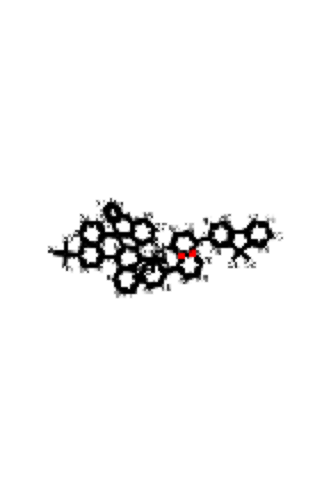 CC(C)(C)c1cc2c(c3ccccc13)-c1ccc(C(C)(C)C)c3cccc(c13)C21c2ccccc2-c2ccc(N(c3ccc(-c4ccc5c(c4)C(C)(C)c4ccccc4-5)cc3)c3ccccc3-c3ccccc3)cc21